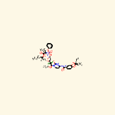 COC(n1ccc(NC(=O)c2ccc3c(c2)OC(C)(C)O3)nc1=O)C(F)(F)[C@H](O)CCOP(=O)(N[C@H](C)C(=O)OC(C)C)Oc1ccccc1